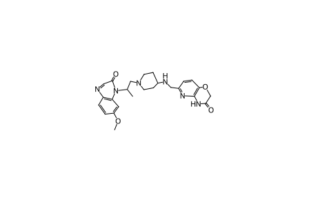 COc1ccc2ncc(=O)n(C(C)CN3CCC(NCc4ccc5c(n4)NC(=O)CO5)CC3)c2c1